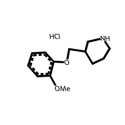 COc1ccccc1OCC1CCCNC1.Cl